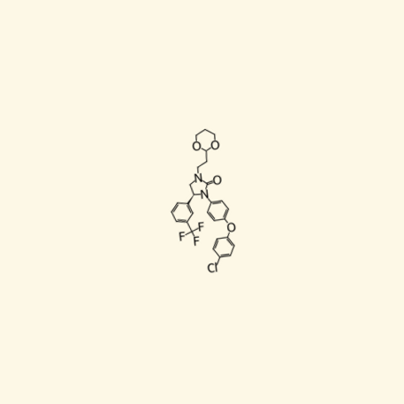 O=C1N(CCC2OCCCO2)C[C@H](c2cccc(C(F)(F)F)c2)N1c1ccc(Oc2ccc(Cl)cc2)cc1